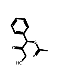 CC(=S)SC(C(=O)CO)c1ccccc1